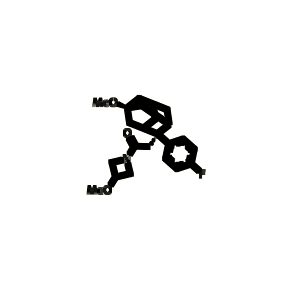 COC1CN(C(=O)C[C@]2(c3ccc(F)cc3)C3CC4CC2C[C@@](OC)(C4)C3)C1